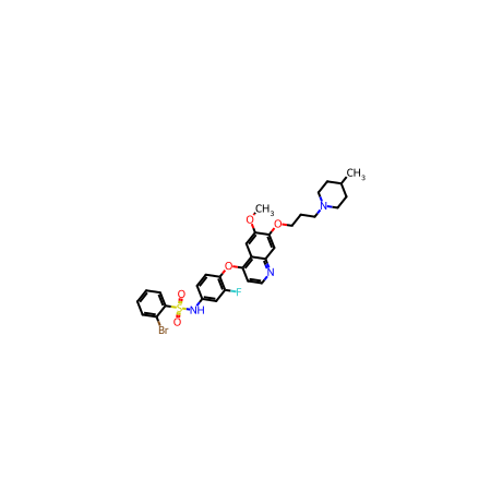 COc1cc2c(Oc3ccc(NS(=O)(=O)c4ccccc4Br)cc3F)ccnc2cc1OCCCN1CCC(C)CC1